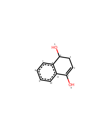 OC1=CCC(O)c2ccccc21